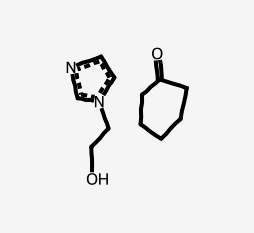 O=C1CCCCC1.OCCn1ccnc1